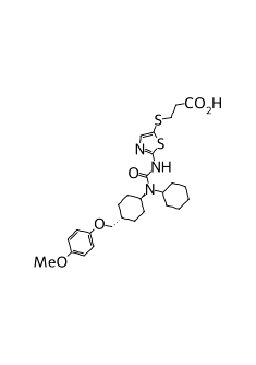 COc1ccc(OC[C@H]2CC[C@H](N(C(=O)Nc3ncc(SCCC(=O)O)s3)C3CCCCC3)CC2)cc1